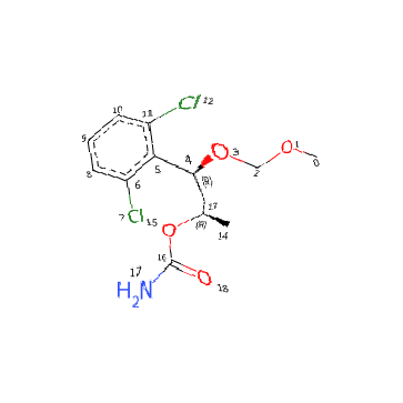 COCO[C@H](c1c(Cl)cccc1Cl)[C@@H](C)OC(N)=O